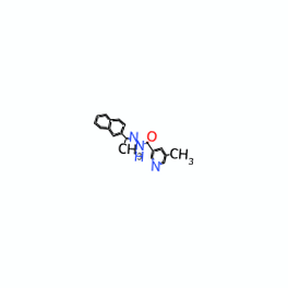 CC(=NNC(=O)c1cncc(C)c1)c1ccc2ccccc2c1